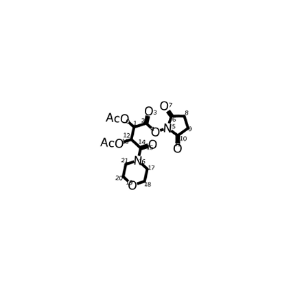 CC(=O)OC(C(=O)ON1C(=O)CCC1=O)C(OC(C)=O)C(=O)N1CCOCC1